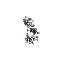 C[n+]1cn([C@@H]2O[C@H](COP(=O)(O)OP(=O)(O)OP(=O)(O)/C=C/[C@H]3O[C@@H](n4cnc5c(=O)[nH]c(N)nc54)[C@@H](O)C3O)C(O)[C@@H]2O)c2nc(N)[nH]c(=O)c21